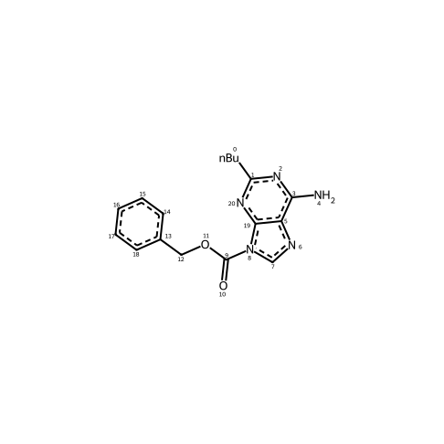 CCCCc1nc(N)c2ncn(C(=O)OCc3ccccc3)c2n1